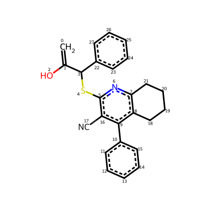 C=C(O)C(Sc1nc2c(c(-c3ccccc3)c1C#N)CCCC2)c1ccccc1